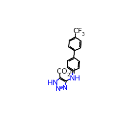 O=C(O)c1[nH]nnc1Nc1ccc(-c2ccc(C(F)(F)F)cc2)cc1